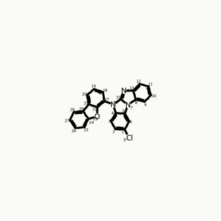 Clc1ccc2c(c1)n1c3ccccc3nc1n2-c1cccc2c1oc1ccccc12